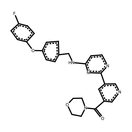 O=C(c1cncc(-c2nccc(NCc3ccc(Oc4ccc(F)cc4)cc3)n2)c1)N1CCOCC1